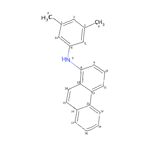 Cc1cc(C)cc(Nc2cccc3c2ccc2ccccc23)c1